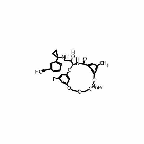 C#Cc1cccc(C2(NC[C@@H](O)[C@@H]3Cc4cc(F)cc(c4)OCCCCN(CCC)Cc4cc(C)cc(c4)C(=O)N3)CC2)c1